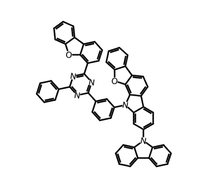 c1ccc(-c2nc(-c3cccc(-n4c5cc(-n6c7ccccc7c7ccccc76)ccc5c5ccc6c7ccccc7oc6c54)c3)nc(-c3cccc4c3oc3ccccc34)n2)cc1